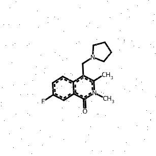 Cc1c(CN2CCCC2)c2ccc(F)cc2c(=O)n1C